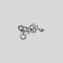 O=C(NC1CCCCC1)N(Cc1ccccc1)[C@H]1CO[C@@H]2[C@@H](CO)CO[C@@H]21